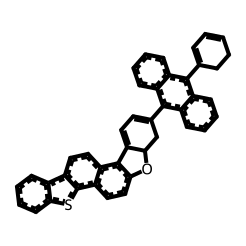 C1=CCCC(c2c3ccccc3c(C3=CC=C4c5c(ccc6c5ccc5c7ccccc7sc65)OC4C3)c3ccccc23)=C1